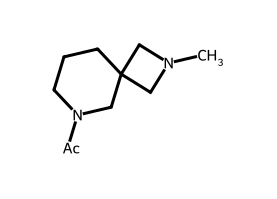 CC(=O)N1CCCC2(CN(C)C2)C1